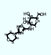 OC[C@H]1OC[C@H](Nc2nc(N3CCOCC3)ns2)[C@@H](O)[C@H]1O